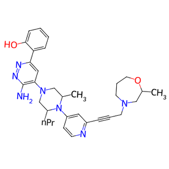 CCCC1CN(c2cc(-c3ccccc3O)nnc2N)CC(C)N1c1ccnc(C#CCN2CCCOC(C)C2)c1